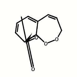 O=C1C=C2C=CC=C3C=CCOOC32CO1